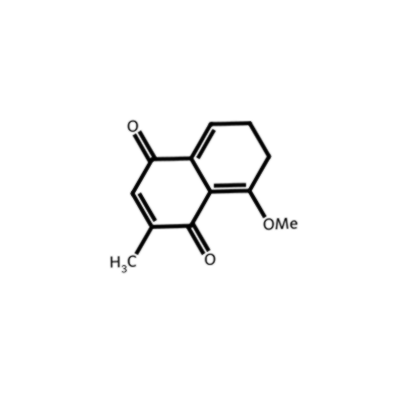 COC1=C2C(=O)C(C)=CC(=O)C2=CCC1